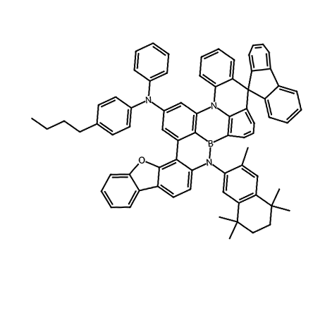 CCCCc1ccc(N(c2ccccc2)c2cc3c4c(c2)N2c5ccccc5C5(c6ccccc6-c6ccccc65)c5cccc(c52)B4N(c2cc4c(cc2C)C(C)(C)CCC4(C)C)c2ccc4c(oc5ccccc54)c2-3)cc1